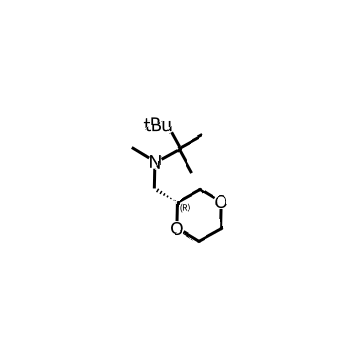 CN(C[C@@H]1COCCO1)C(C)(C)C(C)(C)C